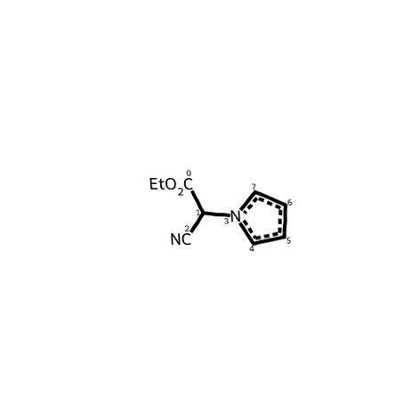 CCOC(=O)C(C#N)n1cccc1